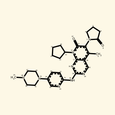 Cc1c(N2CCCC2=O)c(=O)n(C2CCCC2)c2nc(Nc3ccc(N4CCN(C)CC4)cn3)ncc12